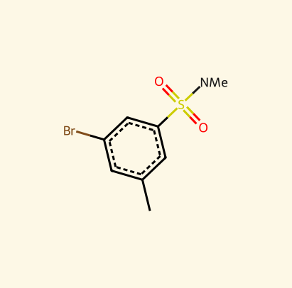 CNS(=O)(=O)c1cc(C)cc(Br)c1